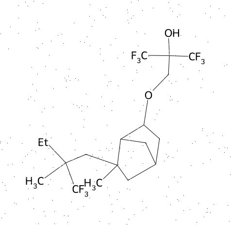 CCC(C)(CC1(C)CC2CC(OCC(O)(C(F)(F)F)C(F)(F)F)C1C2)C(F)(F)F